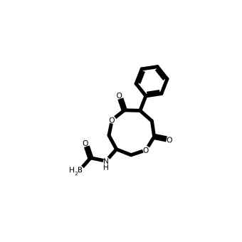 BC(=O)NC1COC(=O)CC(c2ccccc2)C(=O)OC1